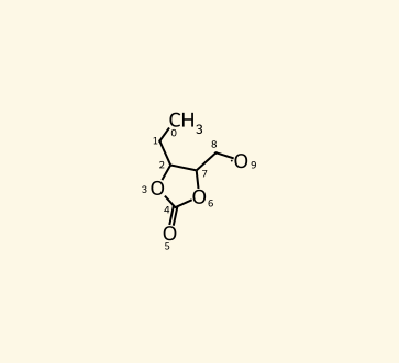 CCC1OC(=O)OC1C[O]